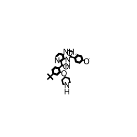 COc1ccc(C(=O)Nc2c(N)ccnc2C(=O)c2ccc(C(C)(C)C)cc2OC2CCNCC2)cc1